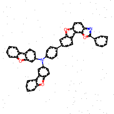 c1ccc(-c2nc3ccc4oc5cc(-c6ccc(N(c7ccc8c(c7)oc7ccccc78)c7ccc8oc9ccccc9c8c7)cc6)ccc5c4c3o2)cc1